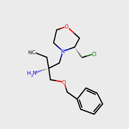 N#CC[C@](N)(COCc1ccccc1)CN1CCOC[C@@H]1CCl